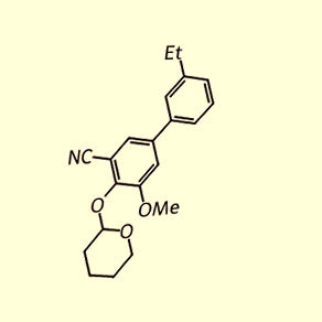 CCc1cccc(-c2cc(C#N)c(OC3CCCCO3)c(OC)c2)c1